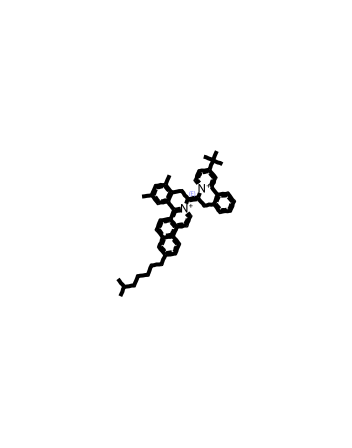 Cc1cc(C)c2c(c1)-c1c3ccc4cc(CCCCCC(C)C)ccc4c3cc[n+]1/C(=C1\Cc3ccccc3-c3cc(C(C)(C)C)cc[n+]31)C2